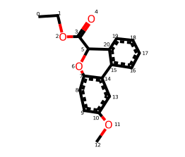 CCOC(=O)C1Oc2ccc(OC)cc2-c2ccccc21